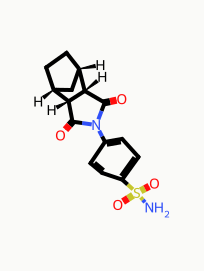 NS(=O)(=O)c1ccc(N2C(=O)[C@@H]3[C@@H]4CC[C@@H](C4)[C@@H]3C2=O)cc1